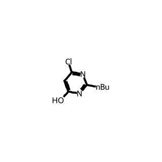 CCCCc1nc(O)cc(Cl)n1